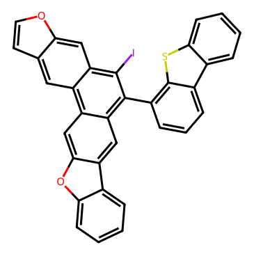 Ic1c(-c2cccc3c2sc2ccccc23)c2cc3c(cc2c2cc4ccoc4cc12)oc1ccccc13